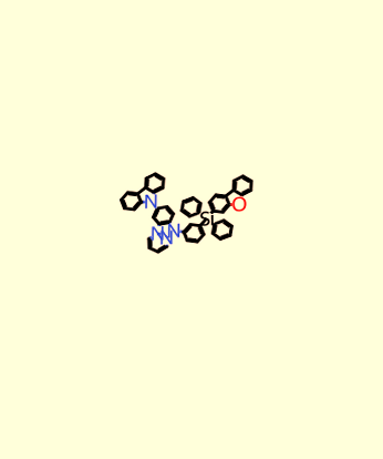 C1=CN2c3cc(-n4c5ccccc5c5ccccc54)ccc3N(c3cccc([Si](c4ccccc4)(c4ccccc4)c4ccc5c(c4)oc4ccccc45)c3)N2C=C1